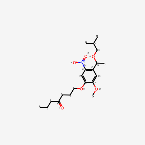 CCCC(=O)CCCOc1cc([N+](=O)[O-])c(C(C)OCC(C)C)cc1OC